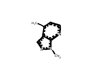 Cc1ccnc2c1cnn2C